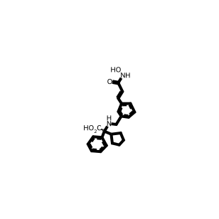 O=C(C=Cc1cccc(CN[C@](C(=O)O)(c2ccccc2)C2CCCC2)c1)NO